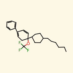 CCCCCCC1CCC(C2(OC(F)(F)F)C=CC(c3ccccc3)=CC2)CC1